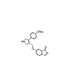 COc1ccc(C2=C(COc3ccc4c(c3)C(=O)N=C4)CNC2)cc1